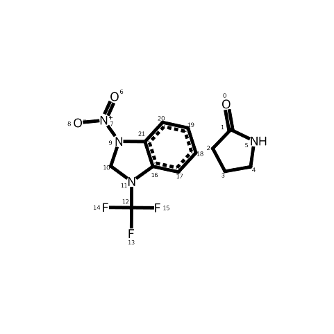 O=C1CCCN1.O=[N+]([O-])N1CN(C(F)(F)F)c2ccccc21